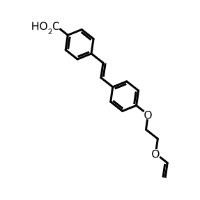 C=COCCOc1ccc(C=Cc2ccc(C(=O)O)cc2)cc1